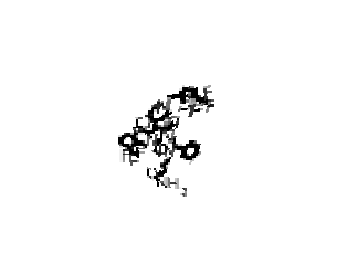 NC(=O)CCCN[C@@H](Cn1c(=O)c2c(n(Cc3c(F)cccc3C(F)(F)F)c1=O)COC21CCN(Cc2ccc(C(F)(F)F)o2)CC1)c1ccccc1